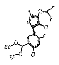 CCOC(OCC)c1cc(-c2nn(C)c(OC(F)F)c2Cl)c(F)cc1Cl